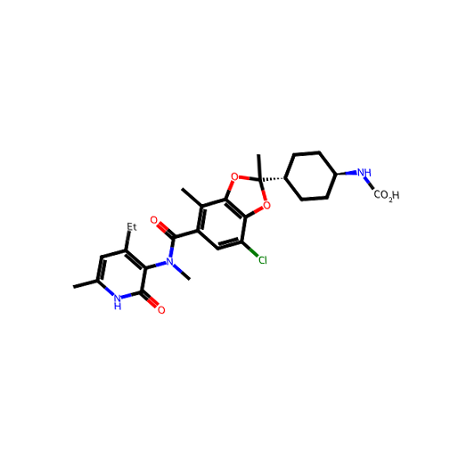 CCc1cc(C)[nH]c(=O)c1N(C)C(=O)c1cc(Cl)c2c(c1C)OC(C)([C@H]1CC[C@H](NC(=O)O)CC1)O2